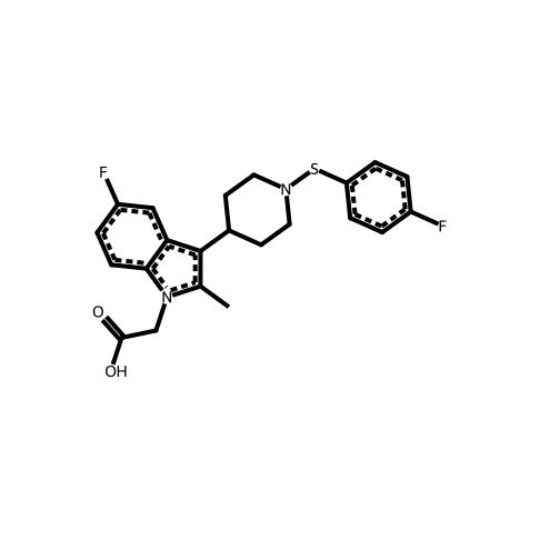 Cc1c(C2CCN(Sc3ccc(F)cc3)CC2)c2cc(F)ccc2n1CC(=O)O